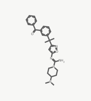 CN(C)C1CCN(C(N)=Nc2cc(C(C)(C)c3cccc(C(=O)c4ccccc4)c3)no2)CC1